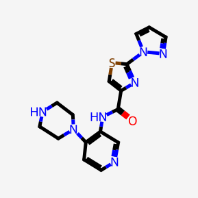 O=C(Nc1cnccc1N1CCNCC1)c1csc(-n2cccn2)n1